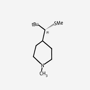 CS[C@H](C1CCN(C)CC1)C(C)(C)C